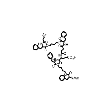 CNC(Cc1ccccc1)C(=O)OCCCCOC(=O)C(Cc1ccccc1)NC(=O)C(CCC(=O)O)NC(=O)CCC(=O)NC(Cc1ccccc1)C(=O)OCCCCOC(=O)C(Cc1ccccc1)NC(=O)CCC(C)=O